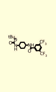 CC(C)(C)OC(=O)NC1CCC(NC(=O)c2cc(C(F)(F)F)cc(C(F)(F)F)c2)CC1